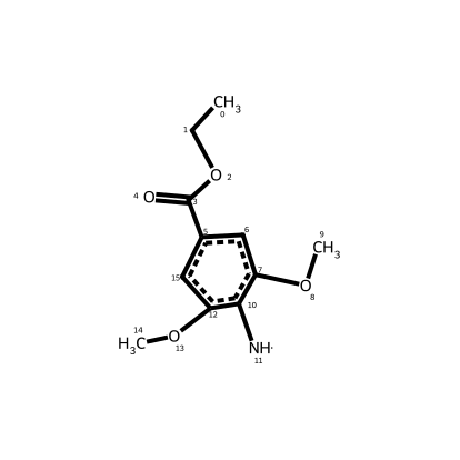 CCOC(=O)c1cc(OC)c([NH])c(OC)c1